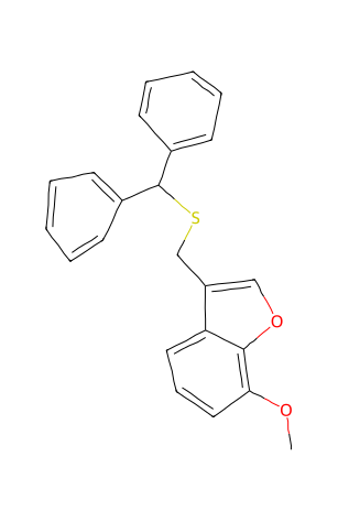 COc1cccc2c(CSC(c3ccccc3)c3ccccc3)coc12